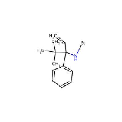 C=CC(NCC)(c1ccccc1)C(C)(C)[SiH3]